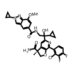 COc1cc(C(=O)NCC(O)(c2cc3c(c(-c4ccc(F)c(F)c4Cl)n2)OC[C@]3(C)C(N)=O)C2CC2)cc2cn(C3CC3)nc12